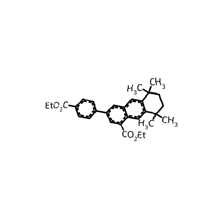 CCOC(=O)c1ccc(-c2cc(C(=O)OCC)c3cc4c(cc3c2)C(C)(C)CCC4(C)C)cc1